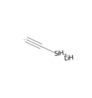 [C]#C[SiH3].[LiH]